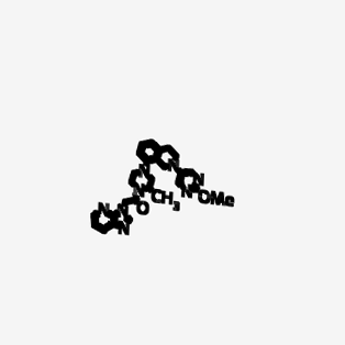 COc1ncc(N2CCc3cccc(N4CCN(C(=O)Cn5cnc6cccnc65)C(C)C4)c3C2)cn1